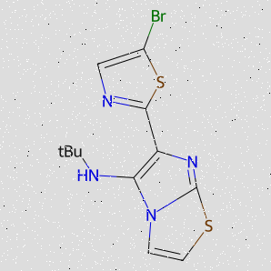 CC(C)(C)Nc1c(-c2ncc(Br)s2)nc2sccn12